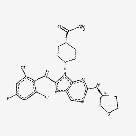 NC(=O)[C@H]1CC[C@H](n2c(Nc3c(Cl)cc(F)cc3Cl)nc3cnc(N[C@H]4CCOC4)nc32)CC1